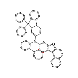 C1=CC2c3ccccc3C(c3ccccc3)(c3ccccc3)C2C=C1N(c1ccc2c(n1)oc1ccc3ccccc3c12)c1ccccc1-c1ccccc1